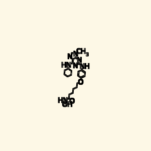 Cn1cnc2c(NC3CCCCC3)nc(Nc3ccc(OCCCCCC(=O)NO)cc3)nc21